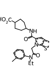 CCN(C(=O)Cn1c(C(=O)NC2CCC(C(=O)O)CC2)cc2ccsc21)c1cccc(C)c1